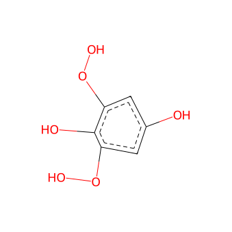 OOc1cc(O)cc(OO)c1O